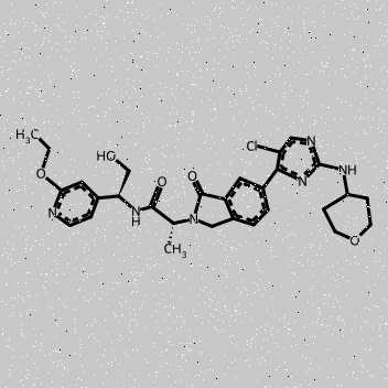 CCOc1cc([C@@H](CO)NC(=O)[C@@H](C)N2Cc3ccc(-c4nc(NC5CCOCC5)ncc4Cl)cc3C2=O)ccn1